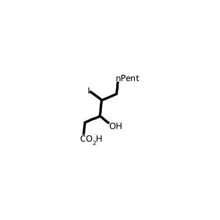 CCCCCCC(I)C(O)CC(=O)O